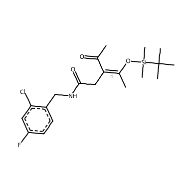 CC(=O)/C(CC(=O)NCc1ccc(F)cc1Cl)=C(/C)O[Si](C)(C)C(C)(C)C